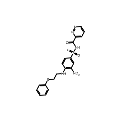 O=C(NS(=O)(=O)c1ccc(NCCSc2ccccc2)c([N+](=O)[O-])c1)c1cccnn1